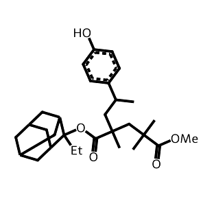 CCC1(OC(=O)C(C)(CC(C)c2ccc(O)cc2)CC(C)(C)C(=O)OC)C2CC3CC(C2)CC1C3